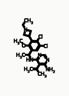 C=C(C)c1c(N)ncnc1NC(C)c1cc(Cl)c(Cl)c(C2CN(CC)C2)c1OC